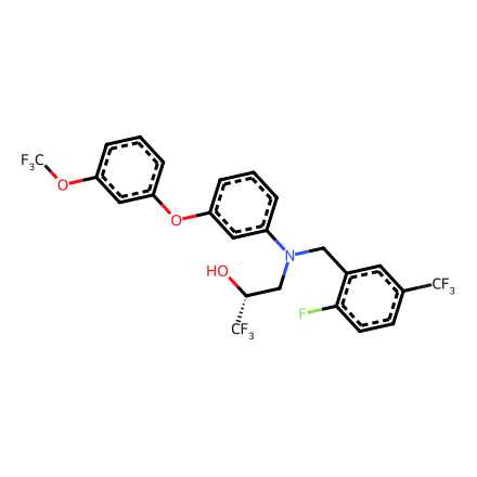 O[C@H](CN(Cc1cc(C(F)(F)F)ccc1F)c1cccc(Oc2cccc(OC(F)(F)F)c2)c1)C(F)(F)F